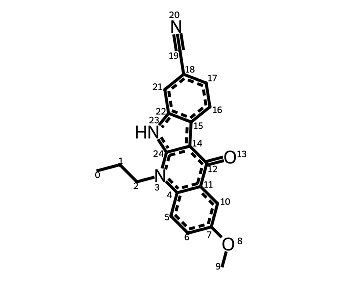 CCCn1c2ccc(OC)cc2c(=O)c2c3ccc(C#N)cc3[nH]c21